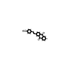 CC(C)(C)c1ccc(C=Cc2ccc3c(c2)C(=O)c2ccccc2C3=O)cc1